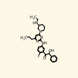 CCCc1cc(N2CCCC(NCC)C2)nc(Nc2ccc(F)c(C(=O)C(O)c3ccccc3)c2)n1